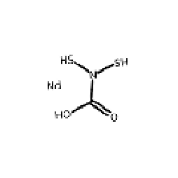 O=C(O)N(S)S.[Nd]